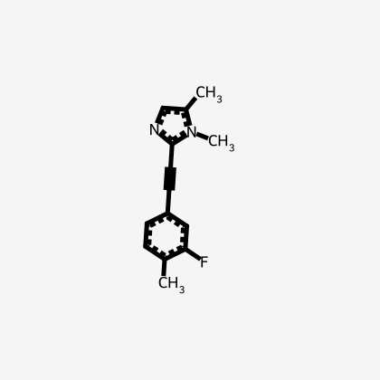 Cc1ccc(C#Cc2ncc(C)n2C)cc1F